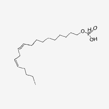 CCCC/C=C\C/C=C\CCCCCCCCCO[PH](=O)O